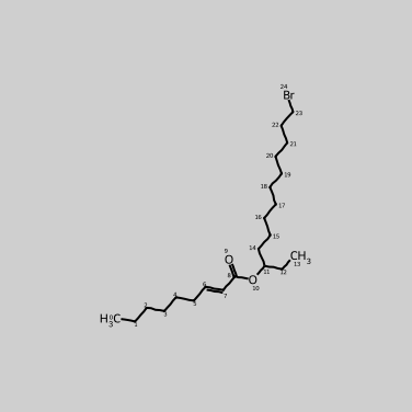 CCCCCC/C=C/C(=O)OC(CC)CCCCCCCCCCBr